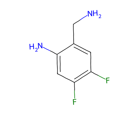 NCc1cc(F)c(F)cc1N